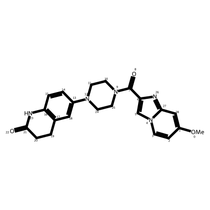 COc1ccn2cc(C(=O)N3CCN(c4ccc5c(c4)CCC(=O)N5)CC3)nc2c1